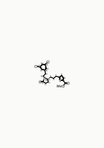 COC(=O)c1ccc(CCC[C@H]2CCC(=O)N2CCc2cc(Cl)cc(Cl)c2)s1